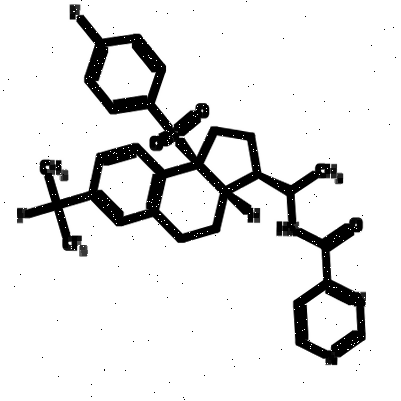 CC(NC(=O)c1ccncn1)[C@@H]1CC[C@@]2(S(=O)(=O)c3ccc(F)cc3)c3ccc(C(C)(F)C(F)(F)F)cc3CC[C@@H]12